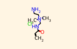 C=CC(=O)NC[N+](C)(C)CCN.[Cl-]